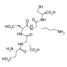 NCCCC[C@H](NC(=O)[C@H](CC(=O)O)NC(=O)[C@H](CC(=O)O)NC(=O)[C@@H](N)CC(=O)O)C(=O)N[C@@H](CS)C(=O)O